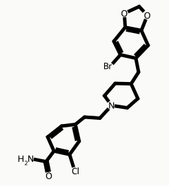 NC(=O)c1ccc(CCN2CCC(Cc3cc4c(cc3Br)OCO4)CC2)cc1Cl